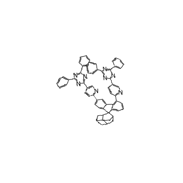 c1ccc(-c2nc(-c3ccccc3)nc(-c3ccc(-c4ccc5c(c4)-c4c(-c6ccc(-c7nc(-c8ccccc8)nc(-c8ccccc8)n7)cn6)cccc4C54C5CC6CC(C5)CC4C6)nc3)n2)cc1